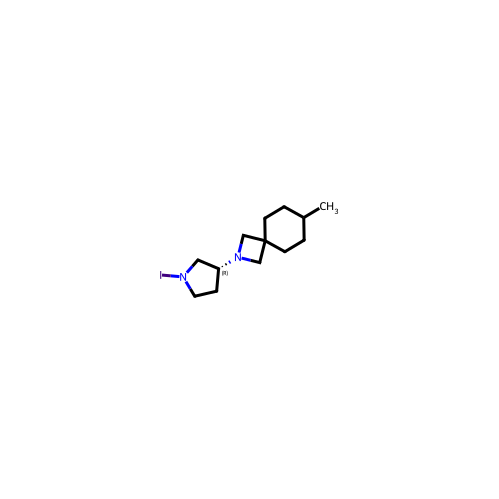 CC1CCC2(CC1)CN([C@@H]1CCN(I)C1)C2